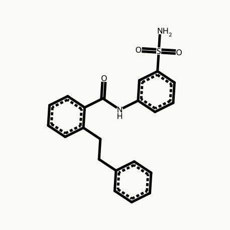 NS(=O)(=O)c1cccc(NC(=O)c2ccccc2CCc2ccccc2)c1